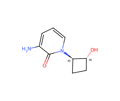 Nc1cccn([C@@H]2CC[C@H]2O)c1=O